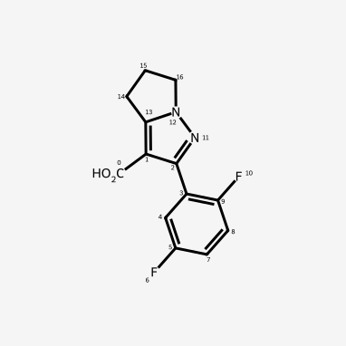 O=C(O)c1c(-c2cc(F)ccc2F)nn2c1CCC2